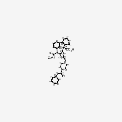 COC(=O)C(C(N)=O)c1cccc2c1C(CCCCN1CCN(C(=O)Cc3ccccc3)CC1)(C(=O)O)c1ccccc1-2